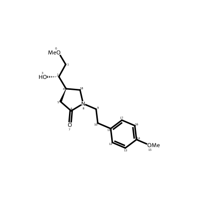 COC[C@@H](O)[C@@H]1CC(=O)N(CCc2ccc(OC)cc2)C1